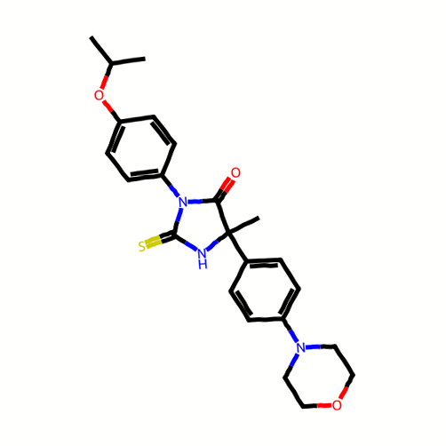 CC(C)Oc1ccc(N2C(=O)C(C)(c3ccc(N4CCOCC4)cc3)NC2=S)cc1